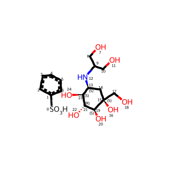 O=S(=O)(O)c1ccccc1.OCC(CO)N[C@H]1C[C@](O)(CO)[C@@H](O)[C@H](O)[C@H]1O